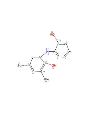 CC(C)(C)c1cc(Nc2ccccc2O)c(O)c(C(C)(C)C)c1